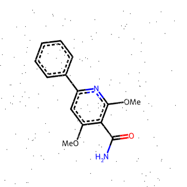 COc1cc(-c2ccccc2)nc(OC)c1C(N)=O